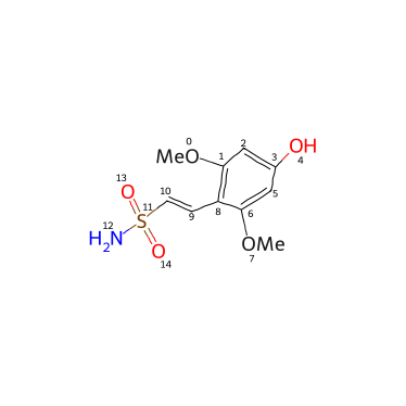 COc1cc(O)cc(OC)c1C=CS(N)(=O)=O